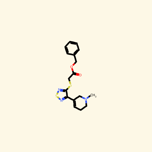 CN1CCC=C(c2nsnc2SCC(=O)OCc2ccccc2)C1